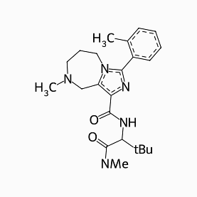 CNC(=O)C(NC(=O)c1nc(-c2ccccc2C)n2c1CN(C)CCC2)C(C)(C)C